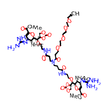 C#CCOCCOCCOCCOCCC(=O)N(CCCC(=O)NCCO[C@@H]([C@@H]1OC(C(=O)OC)=C[C@H](N=C(N)N)C1NC(C)=O)[C@H]1COC(=O)O1)CCC(=O)NCCO[C@@H]([C@@H]1OC(C(=O)OC)=C[C@H](N=C(N)N)[C@H]1NC(C)=O)[C@H]1COC(=O)O1